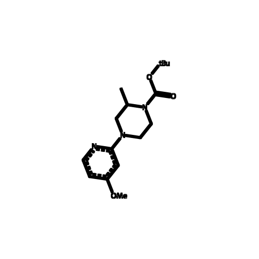 COc1ccnc(N2CCN(C(=O)OC(C)(C)C)C(C)C2)c1